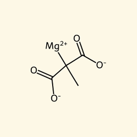 CC(C)(C(=O)[O-])C(=O)[O-].[Mg+2]